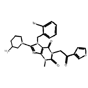 Cn1c(=O)n(CC(=O)c2ccsc2)c(=O)c2c1nc(N1CCCC(N)C1)n2Cc1ccccc1Br